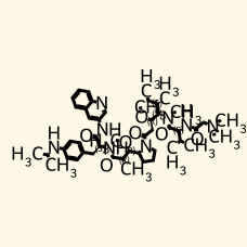 CC[C@H](C)[C@@H]([C@@H](CC(=O)N1CCCC1[C@H](OC)[C@@H](C)C(=O)N[C@@H](Cc1ccc(NC(C)C)cc1)C(=O)Nc1cnc2ccccc2c1)OC)N(C)C(=O)[C@@H](NC(=O)CN(C)C)C(C)C